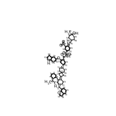 CC(C)c1ccccc1C1CN(Cc2cccc3ccoc23)CCN1C1CC2(CCN(c3ccc(C(=O)NS(=O)(=O)c4ccc(NCC5CCC(C)(O)CC5)c([N+](=O)[O-])c4)c(Oc4cnc5[nH]ccc5c4)c3)CC2)C1